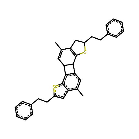 CC1=CC2c3c(cc(C)c4cc(CCc5ccccc5)sc34)C2C2=C1CC(CCc1ccccc1)S2